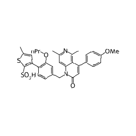 CCCOc1cc(Cn2c(=O)cc(-c3ccc(OC)cc3)c3c(C)nc(C)cc32)ccc1-c1cc(C)sc1S(=O)(=O)O